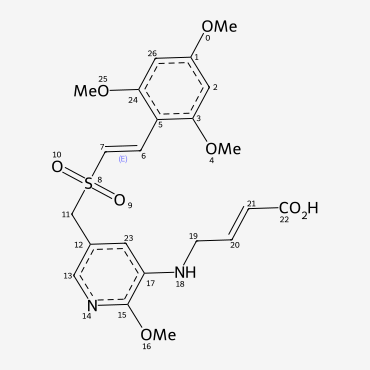 COc1cc(OC)c(/C=C/S(=O)(=O)Cc2cnc(OC)c(NCC=CC(=O)O)c2)c(OC)c1